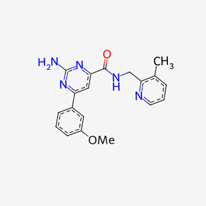 COc1cccc(-c2cc(C(=O)NCc3ncccc3C)nc(N)n2)c1